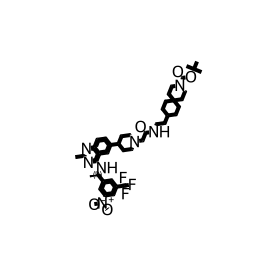 Cc1nc(N[C@H](C)c2cc([N+](=O)[O-])cc(C(F)(F)F)c2)c2cc(C3CCN(CC(=O)NCCC4CCC5(CC4)CCN(C(=O)OC(C)(C)C)CC5)CC3)ccc2n1